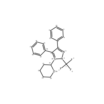 FC(F)(F)N1N=C(c2ccccc2)C(c2ccccc2)=S1C1CCCCO1